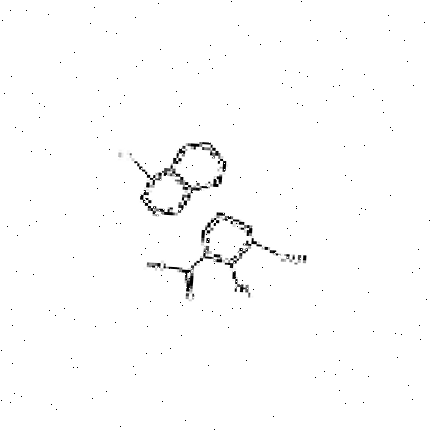 CC(=O)OC(=O)c1cccc(C(=O)O)c1C.Oc1cccc2ccccc12